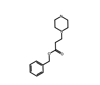 O=C(CCN1CC[N]CC1)OCc1ccccc1